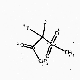 CC(=O)C(F)(F)S(C)(=O)=O